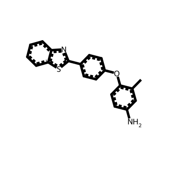 Cc1cc(N)ccc1Oc1ccc(-c2nc3ccccc3s2)cc1